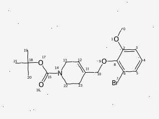 COc1cccc(Br)c1OCC1=CCN(C(=O)OC(C)(C)C)CC1